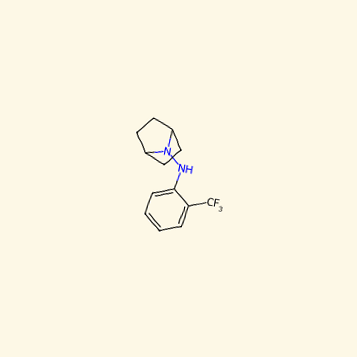 FC(F)(F)c1ccccc1NN1C2CCC1CC2